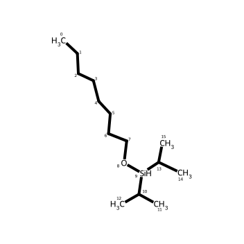 CCCCCCCCO[SiH](C(C)C)C(C)C